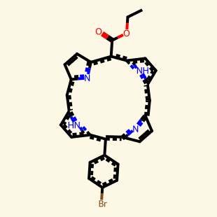 CCOC(=O)c1c2nc(cc3ccc([nH]3)c(-c3ccc(Br)cc3)c3nc(cc4ccc1[nH]4)C=C3)C=C2